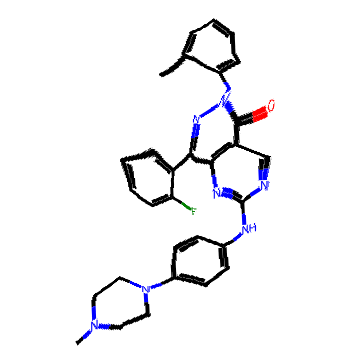 Cc1ccccc1-n1nc(-c2ccccc2F)c2nc(Nc3ccc(N4CCN(C)CC4)cc3)ncc2c1=O